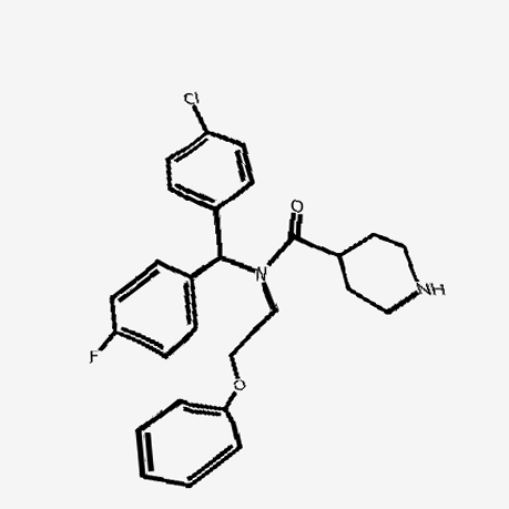 O=C(C1CCNCC1)N(CCOc1ccccc1)C(c1ccc(F)cc1)c1ccc(Cl)cc1